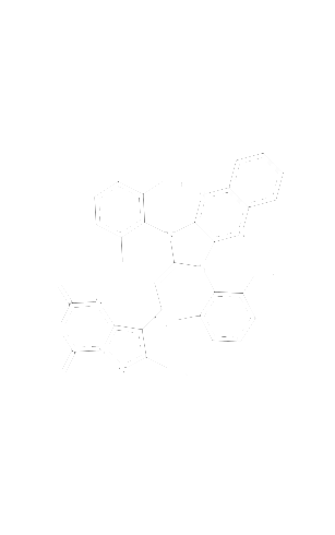 Cc1cccc(C)c1N1C(=C/C=c2/c(C)nn3c(=O)oc(=O)nc23)N(c2c(C)cccc2C)c2nc3ccccc3nc21